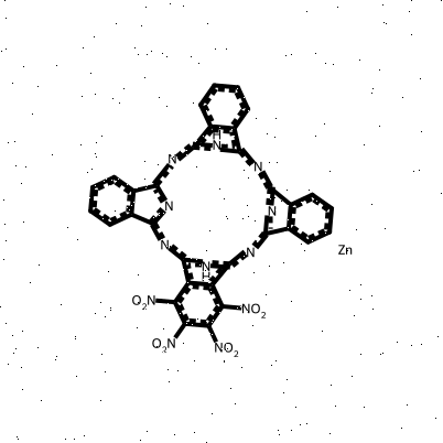 O=[N+]([O-])c1c([N+](=O)[O-])c([N+](=O)[O-])c2c3nc4nc(nc5[nH]c(nc6nc(nc([nH]3)c2c1[N+](=O)[O-])-c1ccccc1-6)c1ccccc51)-c1ccccc1-4.[Zn]